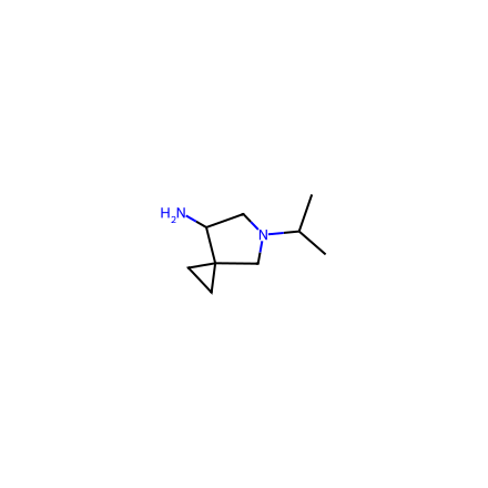 CC(C)N1CC(N)C2(CC2)C1